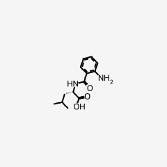 CC(C)C[C@H](NC(=O)c1ccccc1N)C(=O)O